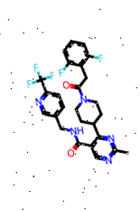 Cc1ncc(C(=O)NCc2ccc(C(F)(F)F)nc2)c(C2CCN(C(=O)Cc3c(F)cccc3F)CC2)n1